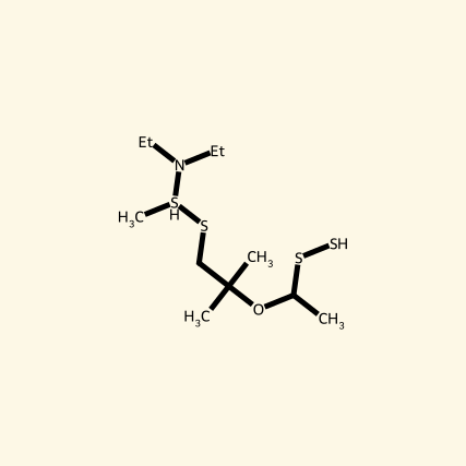 CCN(CC)[SH](C)SCC(C)(C)OC(C)SS